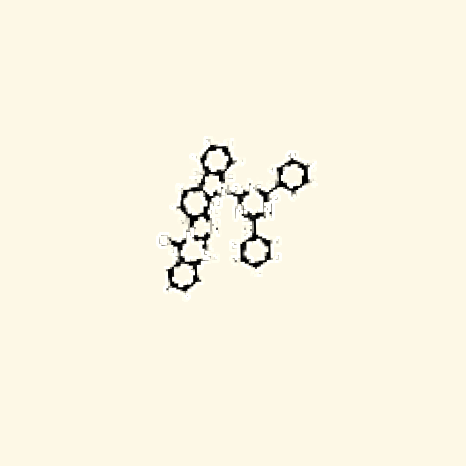 O=c1c2ccccc2sc2nc3c4c(ccc3n12)c1ccccc1n4-c1nc(-c2ccccc2)nc(-c2ccccc2)n1